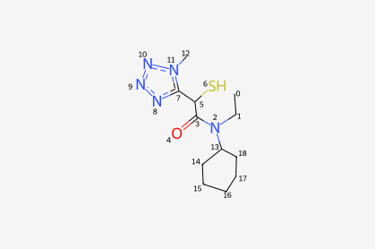 CCN(C(=O)C(S)c1nnnn1C)C1CCCCC1